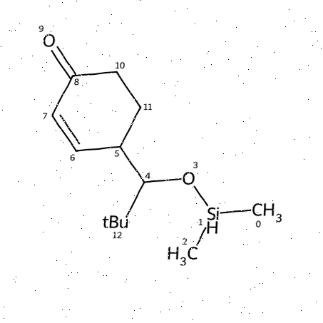 C[SiH](C)OC(C1C=CC(=O)CC1)C(C)(C)C